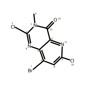 Cn1c(Cl)nc2c(Br)cc(Cl)nc2c1=O